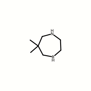 CC1(C)CBCCNC1